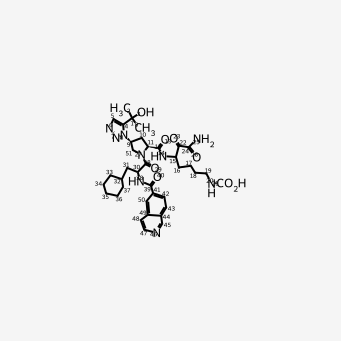 CC(C)(O)c1cnnn1[C@H]1C[C@@H](C(=O)NC(CCCCNC(=O)O)C(=O)C(N)=O)N(C(=O)C(CC2CCCCC2)NC(=O)c2ccc3cnccc3c2)C1